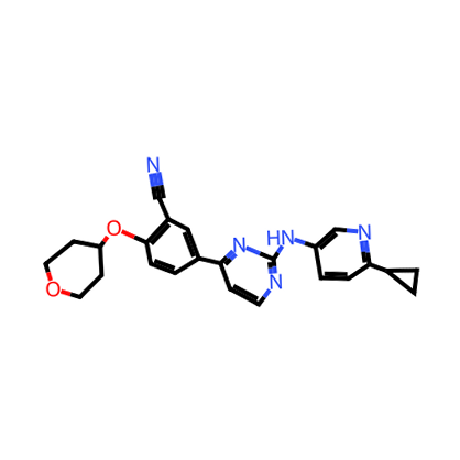 N#Cc1cc(-c2ccnc(Nc3ccc(C4CC4)nc3)n2)ccc1OC1CCOCC1